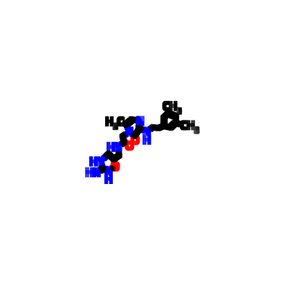 Cc1cc(C)cc(CCNc2ncc(C)n(CC(=O)NCC3CNC(=N)NO3)c2=O)c1